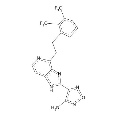 Nc1nonc1-c1nc2c(CCc3cccc(C(F)(F)F)c3C(F)(F)F)nccc2[nH]1